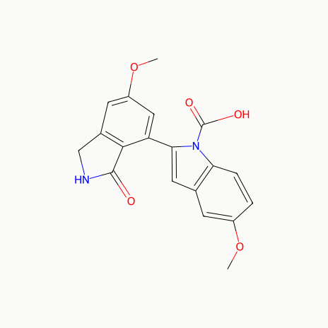 COc1cc2c(c(-c3cc4cc(OC)ccc4n3C(=O)O)c1)C(=O)NC2